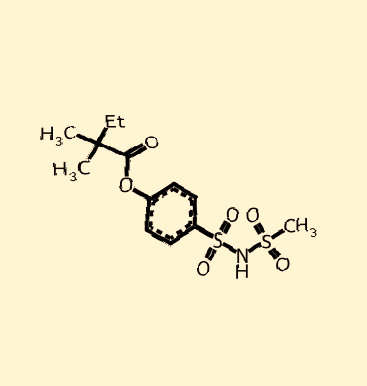 CCC(C)(C)C(=O)Oc1ccc(S(=O)(=O)NS(C)(=O)=O)cc1